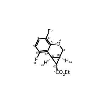 CCOC(=O)[C@@H]1[C@@H]2COc3c(F)ccc(F)c3[C@@H]21